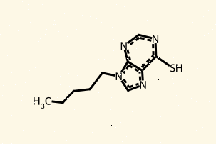 CCCCCn1cnc2c(S)ncnc21